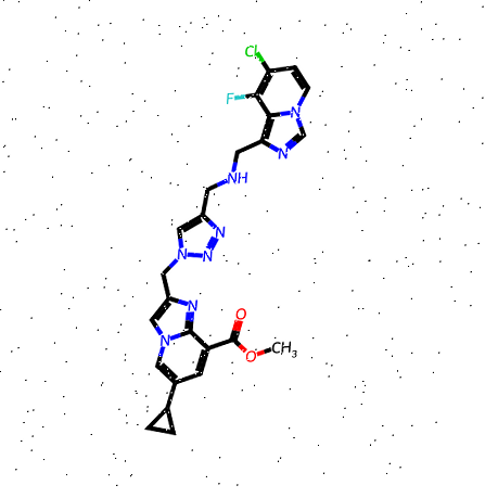 COC(=O)c1cc(C2CC2)cn2cc(Cn3cc(CNCc4ncn5ccc(Cl)c(F)c45)nn3)nc12